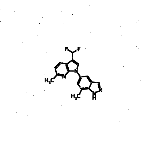 Cc1ccc2c(C(F)F)cn(-c3cc(C)c4[nH]ncc4c3)c2n1